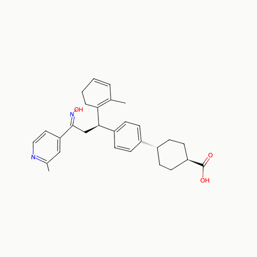 CC1=C([C@H](C/C(=N\O)c2ccnc(C)c2)c2ccc([C@H]3CC[C@H](C(=O)O)CC3)cc2)CCC=C1